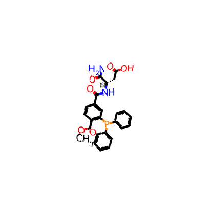 COC(=O)c1ccc(C(=O)N[C@@H](CC(=O)O)C(N)=O)cc1P(c1ccccc1)c1ccccc1